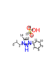 CCCN1NN(c2ccccc2)C=C1C.CS(=O)(=O)O